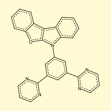 c1cnc(-c2cc(-c3ncccn3)cc(-n3c4ccccc4c4c5ccccc5oc43)c2)nc1